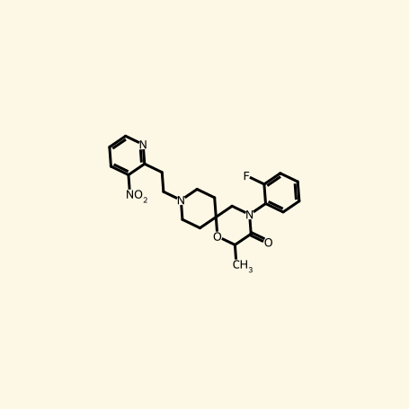 CC1OC2(CCN(CCc3ncccc3[N+](=O)[O-])CC2)CN(c2ccccc2F)C1=O